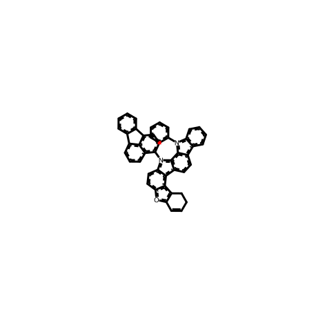 C1=Cc2oc3ccc4c(c5ccc6c7ccccc7n(-c7ccccc7)c6c5n4-c4ccc5c6c(cccc46)-c4ccccc4-5)c3c2CC1